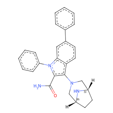 NC(=O)c1c(N2C[C@H]3CC[C@@H](C2)N3)c2ccc(-c3ccccc3)cc2n1-c1ccccc1